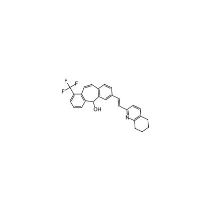 OC1c2cc(C=Cc3ccc4c(n3)CCCC4)ccc2C=Cc2c1cccc2C(F)(F)F